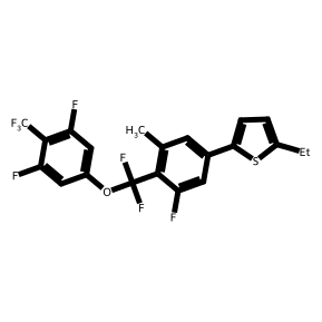 CCc1ccc(-c2cc(C)c(C(F)(F)Oc3cc(F)c(C(F)(F)F)c(F)c3)c(F)c2)s1